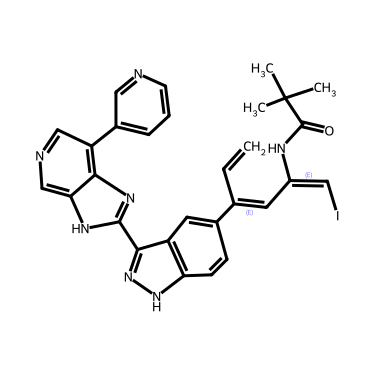 C=C/C(=C\C(=C/I)NC(=O)C(C)(C)C)c1ccc2[nH]nc(-c3nc4c(-c5cccnc5)cncc4[nH]3)c2c1